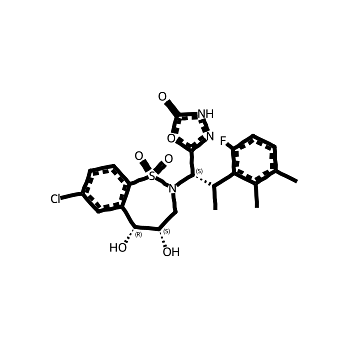 Cc1ccc(F)c(C(C)[C@@H](c2n[nH]c(=O)o2)N2C[C@H](O)[C@H](O)c3cc(Cl)ccc3S2(=O)=O)c1C